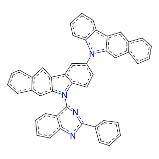 c1ccc(-c2nc(-n3c4ccc(-n5c6ccccc6c6cc7ccccc7cc65)cc4c4cc5ccccc5cc43)c3ccccc3n2)cc1